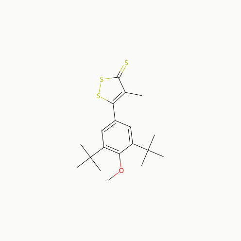 COc1c(C(C)(C)C)cc(-c2ssc(=S)c2C)cc1C(C)(C)C